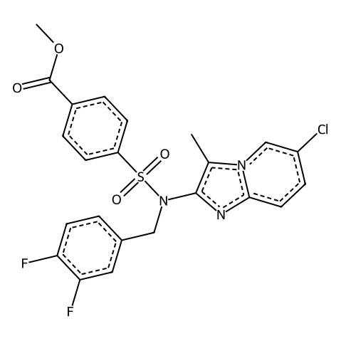 COC(=O)c1ccc(S(=O)(=O)N(Cc2ccc(F)c(F)c2)c2nc3ccc(Cl)cn3c2C)cc1